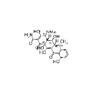 CN[C@@H]1C(O)=C(C(N)=O)C(=O)[C@@]2(O)C(O)=C3C(=O)c4c(O)cccc4[C@@H](C)[C@H]3[C@H](O)[C@@H]12